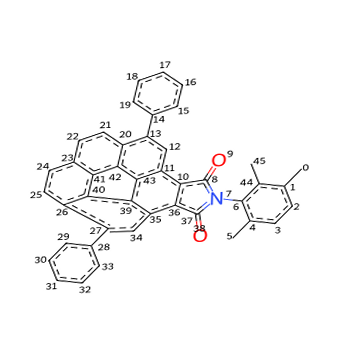 Cc1ccc(C)c(-n2c(=O)c3c4cc(-c5ccccc5)c5ccc6ccc7c(-c8ccccc8)cc(c3c2=O)c2c7c6c5c42)c1C